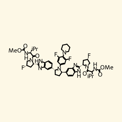 COC(=O)NC(C(=O)N1C[C@@H](F)C[C@H]1c1nc2cc([C@H]3CC[C@H](c4ccc5[nH]c([C@@H]6C[C@H](F)CN6C(=O)[C@@H](NC(=O)OC)C(C)C)nc5c4)N3c3cc(F)c(N4CCCCC4)c(F)c3)ccc2[nH]1)C(C)C